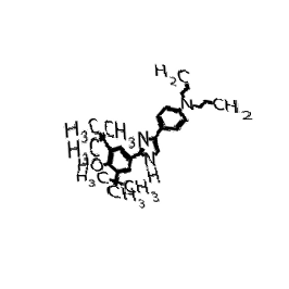 C=CCN(CC=C)c1ccc(-c2c[nH]c(-c3cc(C(C)(C)C)c(O)c(C(C)(C)C)c3)n2)cc1